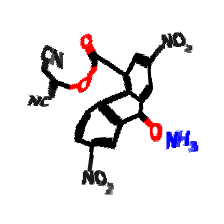 N.N#CC(C#N)OC(=O)c1cc([N+](=O)[O-])cc2c1-c1ccc([N+](=O)[O-])cc1C2=O